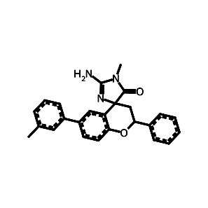 Cc1cccc(-c2ccc3c(c2)C2(CC(c4ccccc4)O3)N=C(N)N(C)C2=O)c1